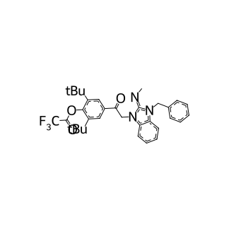 CN=c1n(CC(=O)c2cc(C(C)(C)C)c(OC(=O)C(F)(F)F)c(C(C)(C)C)c2)c2ccccc2n1Cc1ccccc1